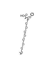 C=C(C(=O)O)C(COc1ccccc1)OCCOCCOCCOCCOCCOCCOCCOCCOC(C)(C)C